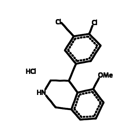 COc1cccc2c1C(c1ccc(Cl)c(Cl)c1)CNC2.Cl